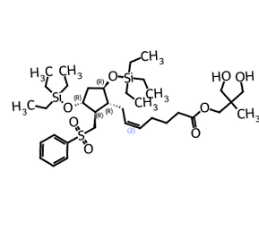 CC[Si](CC)(CC)O[C@@H]1C[C@@H](O[Si](CC)(CC)CC)[C@H](CS(=O)(=O)c2ccccc2)[C@H]1C/C=C\CCCC(=O)OCC(C)(CO)CO